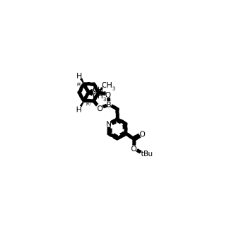 CC(C)(C)OC(=O)c1ccnc(CB2OC3[C@@H]4C[C@H](C[C@]3(C)O2)C4(C)C)c1